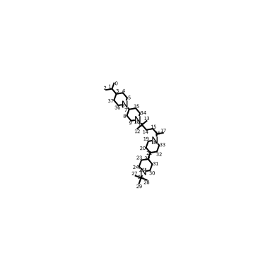 CC(C)C1CCN(C2CCN(C(C)(C)CCC(C)N3CCC(C4CCN(C(C)(C)C)CC4)CC3)CC2)CC1